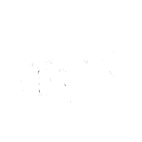 CC(C)C[C@H](NC(=O)[C@H](Cc1c[nH]c2ccccc12)NC(=O)c1cnc2ccccc2c1)B1O[C@@H]2CCC(C)(C)[C@H](C)[C@]2(C)O1